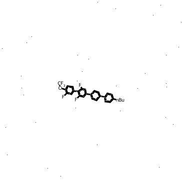 CCCCc1ccc(-c2ccc(-c3cc(F)c(-c4ccc(OC(F)(F)F)c(F)c4)c(F)c3)cc2)cc1